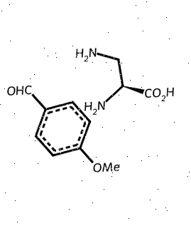 COc1ccc(C=O)cc1.NC[C@H](N)C(=O)O